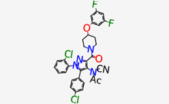 CC(=O)N(C#N)c1c(C(=O)N2CCC(Oc3cc(F)cc(F)c3)CC2)nn(-c2ccccc2Cl)c1-c1ccc(Cl)cc1